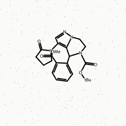 COC(=O)c1ccccc1C1c2c(N3CCCC3=O)cnn2CCN1C(=O)OC(C)(C)C